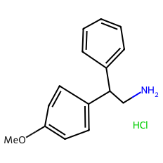 COc1ccc(C(CN)c2ccccc2)cc1.Cl